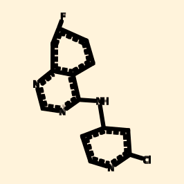 Fc1ccc2c(Nc3ccnc(Cl)c3)ncnc2c1